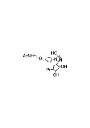 CC(=O)NCCOCc1ccc(-n2c(O)nnc2-c2cc(C(C)C)c(O)cc2O)cc1